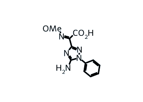 CO/N=C(\C(=O)O)c1nc(N)n(-c2ccccc2)n1